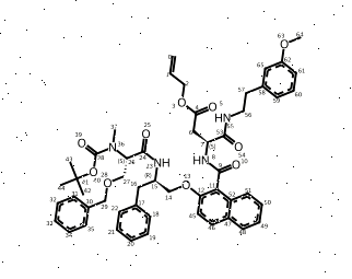 C=CCOC(=O)C[C@H](NC(=O)c1c(OC[C@@H](Cc2ccccc2)NC(=O)[C@H](COCc2ccccc2)N(C)C(=O)OC(C)(C)C)ccc2ccccc12)C(=O)NCCc1cccc(OC)c1